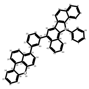 c1ccc(-n2c3c4ccccc4ccc3c3cc(-c4cccc(-c5ccc6c7c(cccc57)-c5ccccc5O6)c4)c4ccccc4c32)cc1